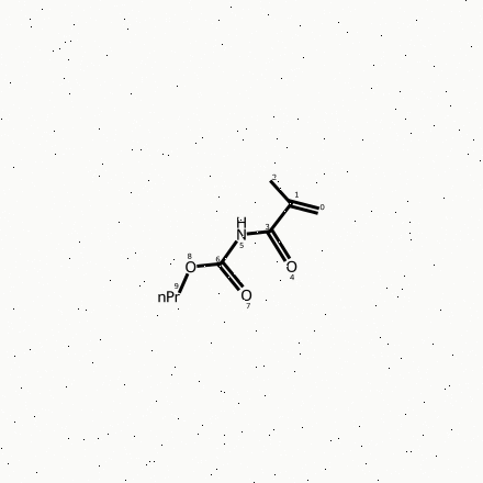 C=C(C)C(=O)NC(=O)OCCC